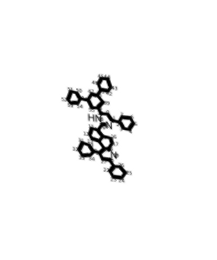 C1=C(c2ccccc2)N=C(c2cccc3c2ccc2nc(-c4ccccc4)cc(-c4ccccc4)c23)NC1c1cc(-c2ccccc2)cc(-c2ccccc2)c1